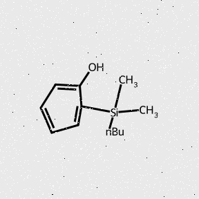 CCCC[Si](C)(C)c1ccccc1O